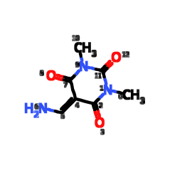 CN1C(=O)C(=CN)C(=O)N(C)C1=O